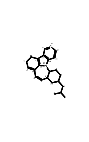 CC(C)CC1CCC2C(C=CC3=CCCc4c3n2c2ccncc42)C1